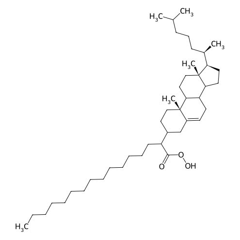 CCCCCCCCCCCCCCC(C(=O)OO)C1CC[C@@]2(C)C(=CCC3C2CC[C@@]2(C)C3CC[C@@H]2[C@H](C)CCCC(C)C)C1